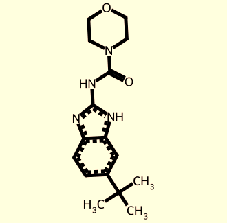 CC(C)(C)c1ccc2nc(NC(=O)N3CCOCC3)[nH]c2c1